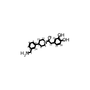 NCc1cccc(C2CCN(C(=O)Cc3ccc(O)c(O)c3)CC2)c1